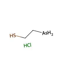 Cl.SCC[AsH2]